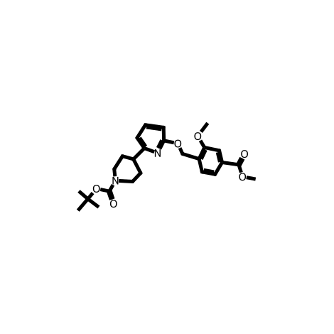 COC(=O)c1ccc(COc2cccc(C3CCN(C(=O)OC(C)(C)C)CC3)n2)c(OC)c1